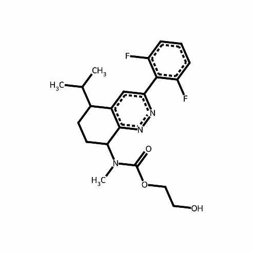 CC(C)C1CCC(N(C)C(=O)OCCO)c2nnc(-c3c(F)cccc3F)cc21